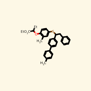 CCOC(=O)C(CC)Oc1ccc(SC(Cc2ccccc2)c2ccc(-c3ccc(C)cc3)cc2)cc1C